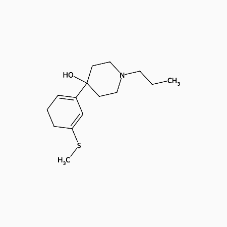 CCCN1CCC(O)(C2=CCCC(SC)=C2)CC1